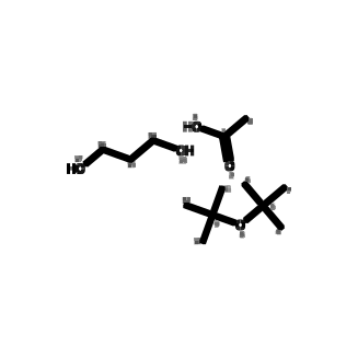 CC(=O)O.CC(C)(C)OC(C)(C)C.OCCCO